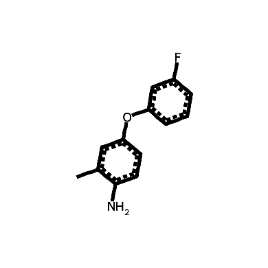 Cc1cc(Oc2cccc(F)c2)ccc1N